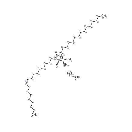 CCCCCCCC/C=C\CCCCCCCCN(CCCCCCCCCCCCCCCC)C(=O)C(C)(N)N.Cl.Cl.Cl